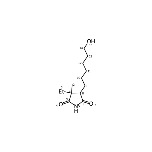 CCC1(C)C(=O)NC(=O)C1CCCCCCO